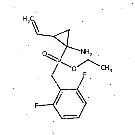 C=CC1CC1(N)P(=O)(Cc1c(F)cccc1F)OCC